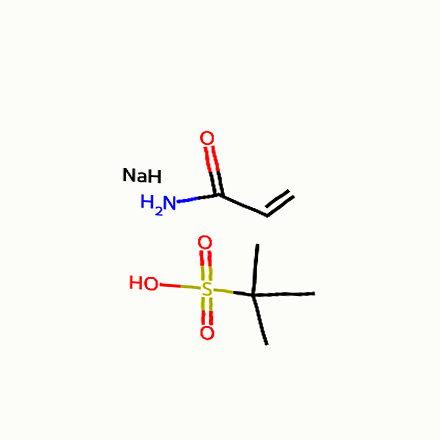 C=CC(N)=O.CC(C)(C)S(=O)(=O)O.[NaH]